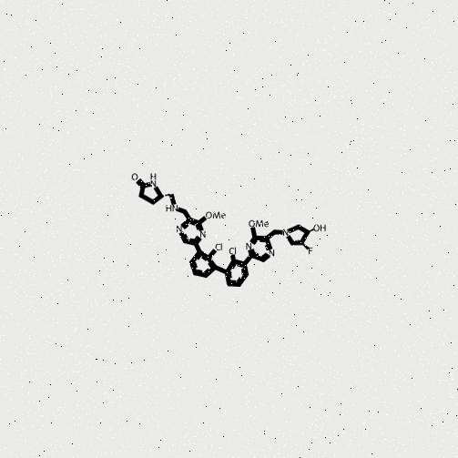 COc1nc(-c2cccc(-c3cccc(-c4cnc(CN5C[C@H](O)[C@@H](F)C5)c(OC)n4)c3Cl)c2Cl)cnc1CNC[C@@H]1CCC(=O)N1